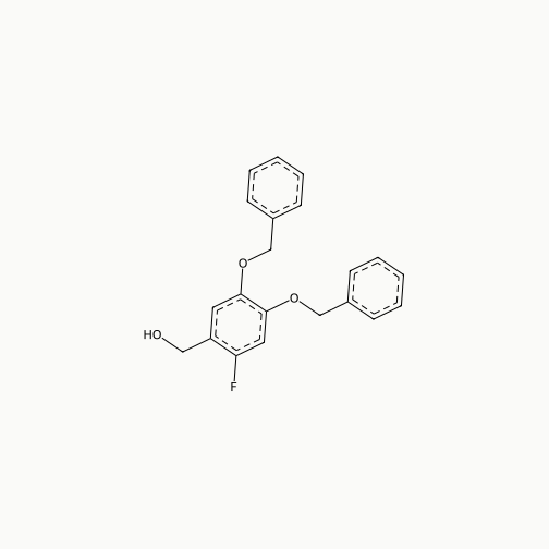 OCc1cc(OCc2ccccc2)c(OCc2ccccc2)cc1F